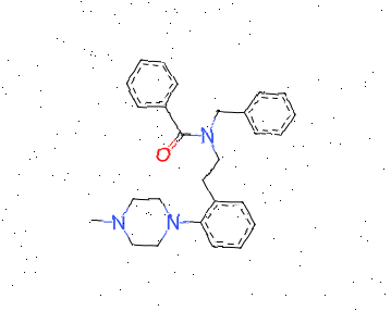 CN1CCN(c2ccccc2CCN(Cc2ccccc2)C(=O)c2ccccc2)CC1